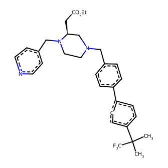 CCOC(=O)C[C@H]1CN(Cc2ccc(-c3ccc(C(C)(C)C(F)(F)F)cc3)cc2)CCN1Cc1ccncc1